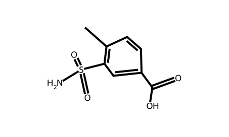 Cc1ccc(C(=O)O)cc1S(N)(=O)=O